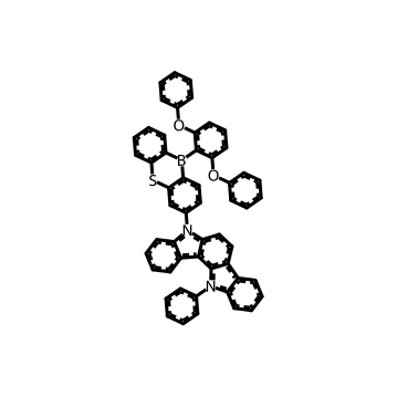 c1ccc(Oc2cccc(Oc3ccccc3)c2B2c3ccccc3Sc3cc(-n4c5ccccc5c5c4ccc4c6ccccc6n(-c6ccccc6)c45)ccc32)cc1